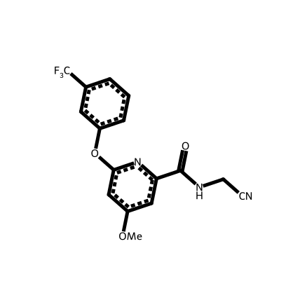 COc1cc(Oc2cccc(C(F)(F)F)c2)nc(C(=O)NCC#N)c1